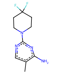 Cc1cnc(N2CCC(F)(F)CC2)nc1N